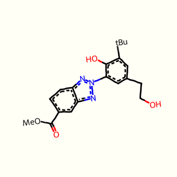 COC(=O)c1ccc2nn(-c3cc(CCO)cc(C(C)(C)C)c3O)nc2c1